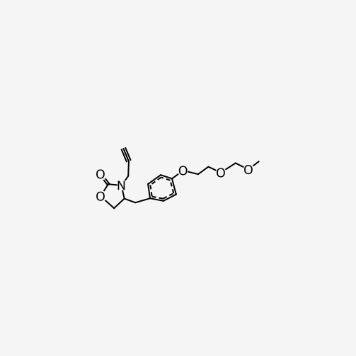 C#CCN1C(=O)OCC1Cc1ccc(OCCOCOC)cc1